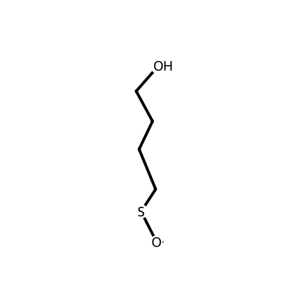 [O]SCCCCO